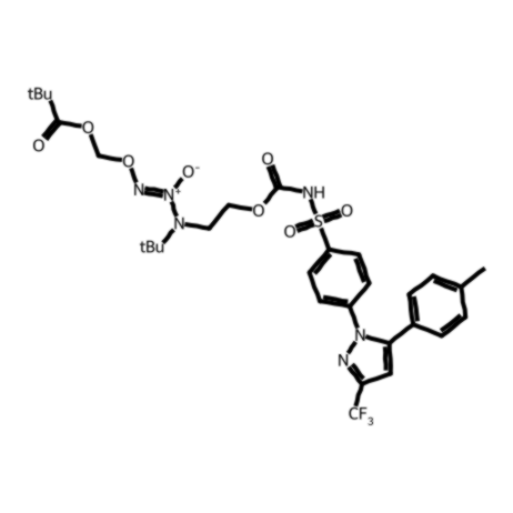 Cc1ccc(-c2cc(C(F)(F)F)nn2-c2ccc(S(=O)(=O)NC(=O)OCCN([N+]([O-])=NOCOC(=O)C(C)(C)C)C(C)(C)C)cc2)cc1